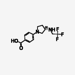 O=C(O)c1ccc(N2CC[C@H](NCC(F)(F)F)C2)cc1